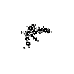 COC1CCC(N2CCC(Oc3nc(C(CCCCC=O)N4CCC(Oc5ncnc(Oc6ccc(S(C)(=O)=O)cc6F)c5C)CC4)nc(Oc4ccc(S(C)(=O)=O)cc4F)c3C)CC2)CC1